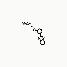 CSCCCOc1cccc(-c2nc3ccccc3o2)c1